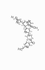 C#Cc1ccc(C(=O)N2CCN(c3ccc(-c4cc(-c5cnn(C)c5)cn5ncc(N=C)c45)cn3)CC2)cn1